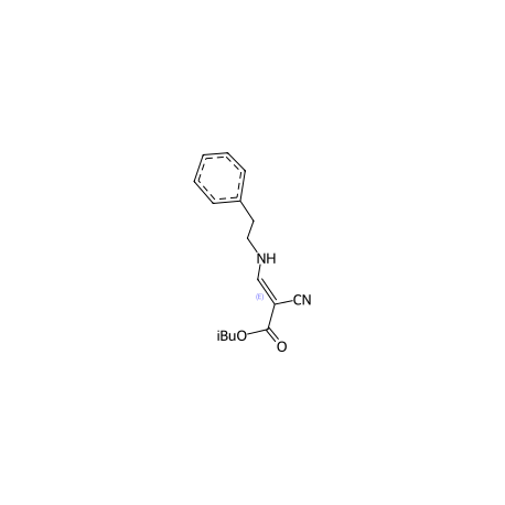 CC(C)COC(=O)/C(C#N)=C/NCCc1ccccc1